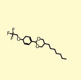 CCCCCCCC1COC(C2=CCC(OCC(F)(F)F)C=C2)OC1